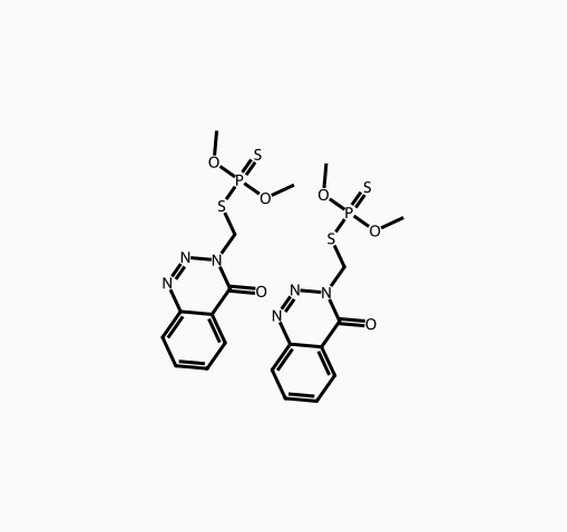 COP(=S)(OC)SCn1nnc2ccccc2c1=O.COP(=S)(OC)SCn1nnc2ccccc2c1=O